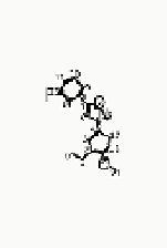 CCc1cc(-c2cc(-c3cccc(F)c3)on2)ccc1OC